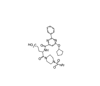 CCCS(=O)(=O)N1CCN(C(=O)C(CCC(=O)O)NC(=O)c2cc(OC3CCCC3)nc(-c3ccccc3)n2)CC1